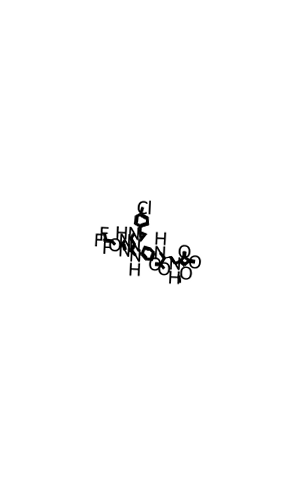 CCOc1c(NC[C@H](Nc2ccc(Nc3nc(NC4(c5ccc(Cl)cc5)CC4)nc(OCC(F)(F)F)n3)cc2)C(=O)OC)c(=O)c1=O